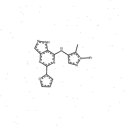 Cc1c(Nc2nc(-c3ccco3)nc3cn[nH]c23)cnn1C(C)C